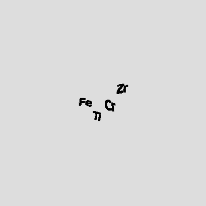 [Cr].[Fe].[Ti].[Zr]